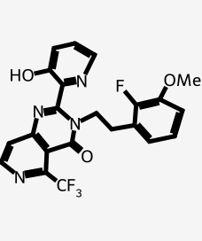 COc1cccc(CCn2c(-c3ncccc3O)nc3ccnc(C(F)(F)F)c3c2=O)c1F